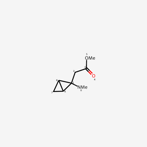 CNC1(CC(=O)OC)C2CC21